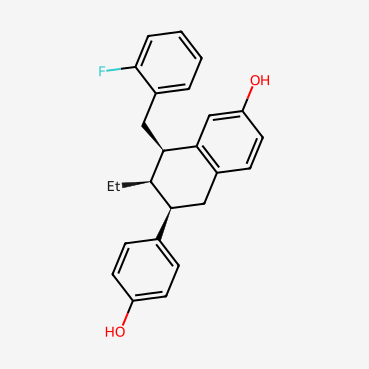 CC[C@@H]1[C@H](c2ccc(O)cc2)Cc2ccc(O)cc2[C@@H]1Cc1ccccc1F